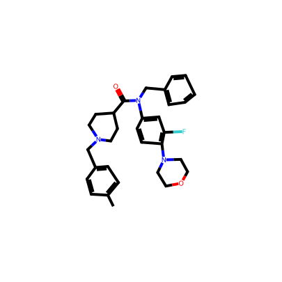 Cc1ccc(CN2CCC(C(=O)N(Cc3ccccc3)c3ccc(N4CCOCC4)c(F)c3)CC2)cc1